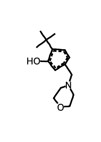 CC(C)(C)c1ccc(CN2CCOCC2)cc1O